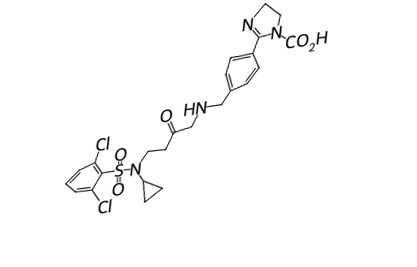 O=C(CCN(C1CC1)S(=O)(=O)c1c(Cl)cccc1Cl)CNCc1ccc(C2=NCCN2C(=O)O)cc1